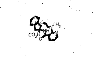 C=CCN(C)c1ncccc1C(=O)NC1(C(=O)O)Cc2ccccc2C1